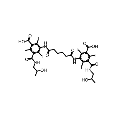 CC(O)CNC(=O)c1c(I)c(NC(=O)CCCCC(=O)Nc2c(I)c(C(=O)O)c(I)c(C(=O)NCC(C)O)c2I)c(I)c(C(=O)O)c1I